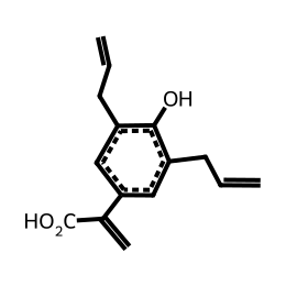 C=CCc1cc(C(=C)C(=O)O)cc(CC=C)c1O